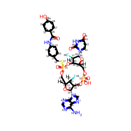 Nc1ncnc2c1ncn2[C@@H]1O[C@@H]2COP(=O)(SCc3ccc(NC(=O)c4ccc(O)cc4)cc3)O[C@H]3[C@@H](F)[C@H](n4ccc(=O)[nH]c4=O)O[C@@H]3COP(=O)(O)O[C@@H]1[C@@H]2F